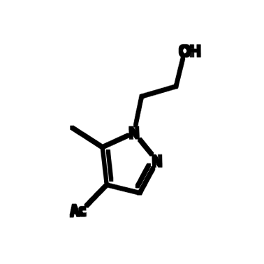 CC(=O)c1cnn(CCO)c1C